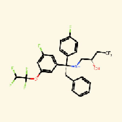 O[C@H](CN[C@](Cc1ccccc1)(c1ccc(F)cc1)c1cc(F)cc(OC(F)(F)C(F)F)c1)CC(F)(F)F